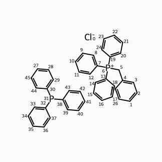 [Cl-].c1ccc(C[P+](c2ccccc2)(c2ccccc2)c2ccccc2)cc1.c1ccc(P(c2ccccc2)c2ccccc2)cc1